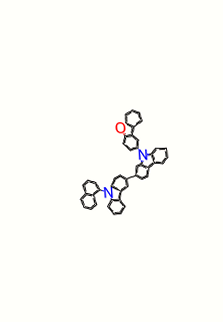 c1ccc2c(-n3c4ccccc4c4cc(-c5ccc6c7ccccc7n(-c7ccc8oc9ccccc9c8c7)c6c5)ccc43)cccc2c1